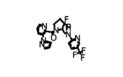 O=C(c1ncccc1-n1cccn1)N1CCC(F)(F)C1CNc1ccc(C(F)(F)F)cn1